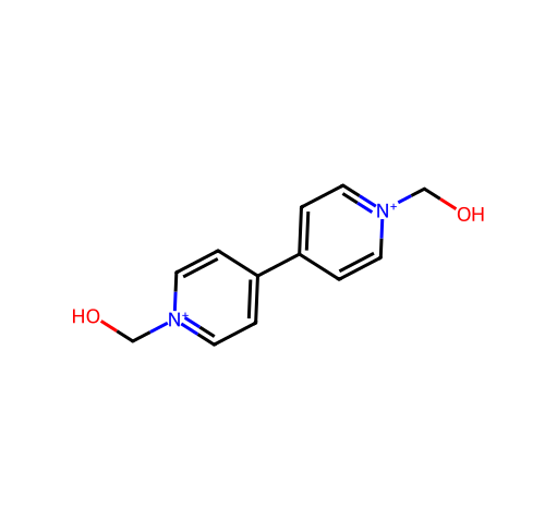 OC[n+]1ccc(-c2cc[n+](CO)cc2)cc1